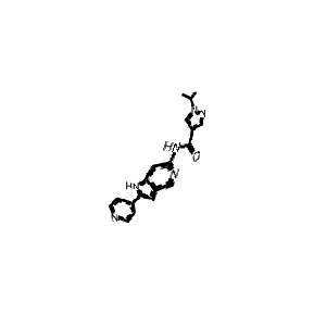 CC(C)n1cc(C(=O)Nc2cc3[nH]c(-c4ccncc4)cc3cn2)cn1